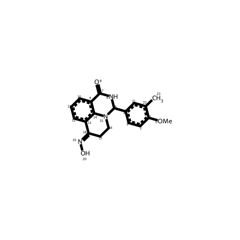 COc1ccc(C2NC(=O)c3cccc4c3N2CC/C4=N\O)cc1C